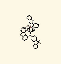 CC1(C)c2ccccc2-c2cc(N(c3ccc(-c4ccc5ccccc5c4)cc3)c3cccc4sc5ccc6oc7c8ccccc8ccc7c6c5c34)ccc21